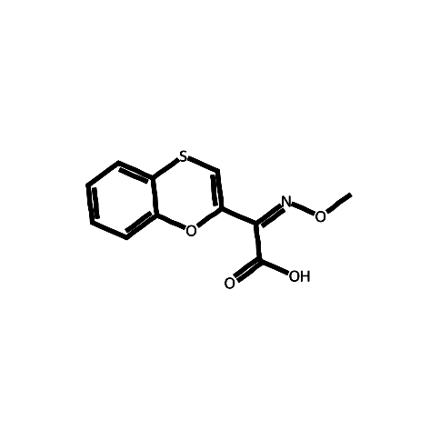 CO/N=C(\C(=O)O)C1=CSc2ccccc2O1